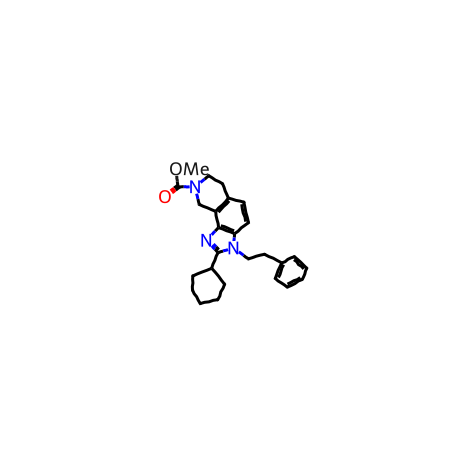 COC(=O)N1CCc2ccc3c(nc(C4CCCCC4)n3CCc3ccccc3)c2C1